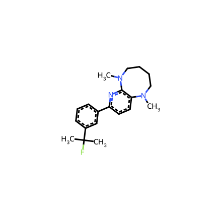 CN1CCCCN(C)c2nc(-c3cccc(C(C)(C)F)c3)ccc21